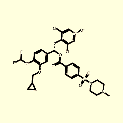 CN1CCN(S(=O)(=O)c2ccc(C(=O)O[C@@H](Cc3c(Cl)c[n+]([O-])cc3Cl)c3ccc(OC(F)F)c(OCC4CC4)c3)cc2)CC1